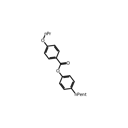 CCCCCc1ccc(OC(=O)c2ccc(OCCC)cc2)cc1